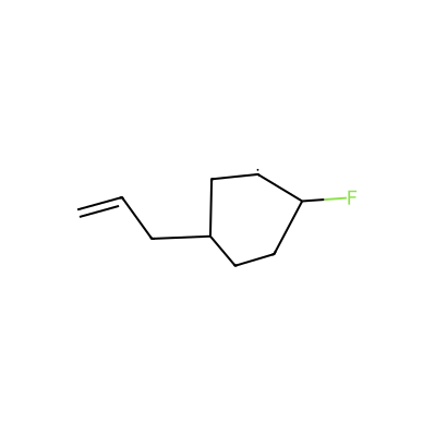 C=CCC1C[CH]C(F)CC1